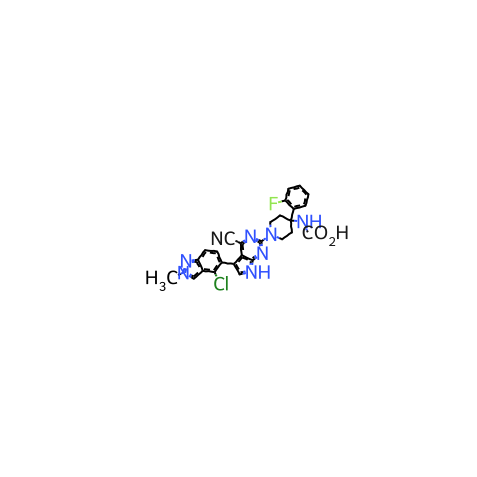 Cn1cc2c(Cl)c(-c3c[nH]c4nc(N5CCC(NC(=O)O)(c6ccccc6F)CC5)nc(C#N)c34)ccc2n1